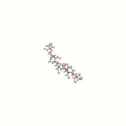 CCC1(COC2CC3(CC)CC2CCC3OCC(CC)(CO)COC2CC3(CC)CC2CCC3OCC2(CC)COC2)COC1